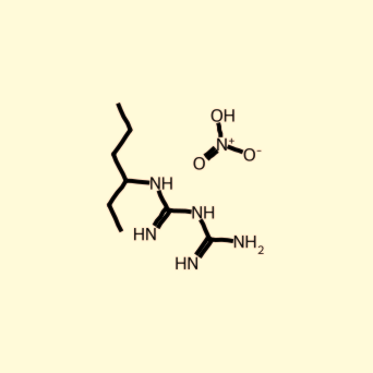 CCCC(CC)NC(=N)NC(=N)N.O=[N+]([O-])O